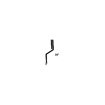 C=CCF.[H+]